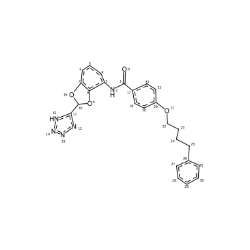 O=C(Nc1cccc2c1OC(c1nnn[nH]1)O2)c1ccc(OCCCCc2ccccc2)cc1